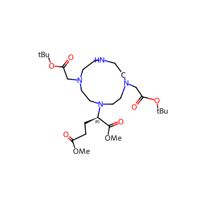 COC(=O)CC[C@H](C(=O)OC)N1CCN(CC(=O)OC(C)(C)C)CCNCCN(CC(=O)OC(C)(C)C)CC1